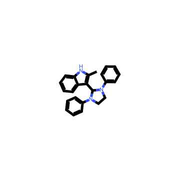 Cc1[nH]c2ccccc2c1C1N(c2ccccc2)CCN1c1ccccc1